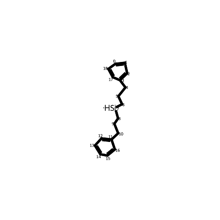 c1ccc(CCC[SiH]CCCc2ccccc2)cc1